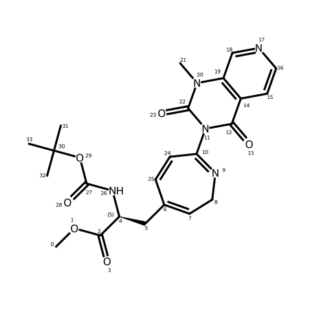 COC(=O)[C@H](CC1=CCN=C(n2c(=O)c3ccncc3n(C)c2=O)C=C1)NC(=O)OC(C)(C)C